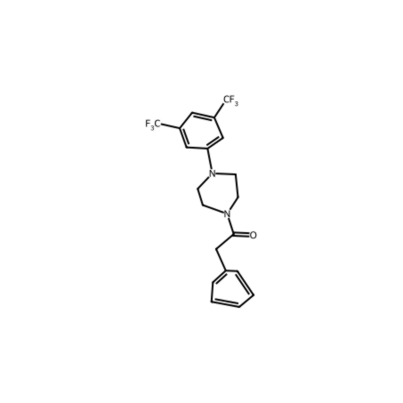 O=C(Cc1ccccc1)N1CCN(c2cc(C(F)(F)F)cc(C(F)(F)F)c2)CC1